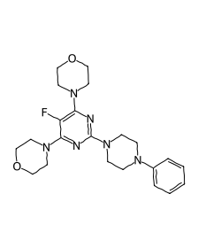 Fc1c(N2CCOCC2)nc(N2CCN(c3ccccc3)CC2)nc1N1CCOCC1